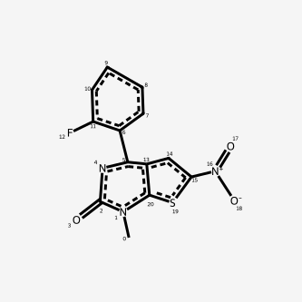 Cn1c(=O)nc(-c2ccccc2F)c2cc([N+](=O)[O-])sc21